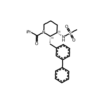 CC(C)C(=O)N1CCC[C@H](NS(C)(=O)=O)[C@@H]1Cc1cccc(-c2ccccc2)c1